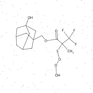 CC(SOOO)(C(=O)OCC12CC3CC(CC(O)(C3)C1)C2)C(F)(F)F